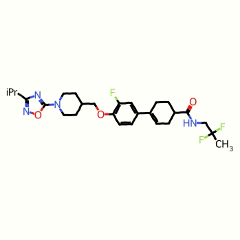 CC(C)c1noc(N2CCC(COc3ccc(C4=CCC(C(=O)NCC(C)(F)F)CC4)cc3F)CC2)n1